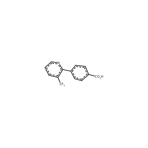 O=C(O)c1ccc(-c2ncccc2C(F)(F)F)cc1